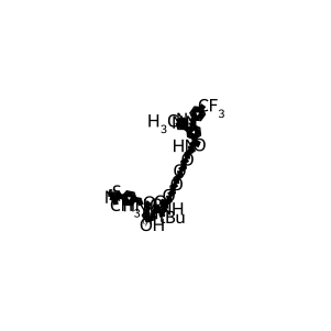 Cc1ncsc1-c1ccc(CNC(=O)[C@@H]2C[C@@H](O)CN2C(=O)C(NC(=O)COCCOCCOCCOCCNC(=O)c2ccc3c(c2)c2cn(C)nc2n3-c2ccc(C(F)(F)F)cc2)C(C)(C)C)cc1